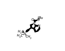 CC(C)(C)OC(=O)n1cc(C#C[Si](C)(C)C)c2cccnc21